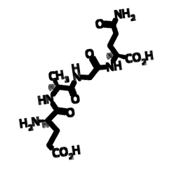 C[C@H](NC(=O)[C@@H](N)CCC(=O)O)C(=O)NCC(=O)N[C@@H](CCC(N)=O)C(=O)O